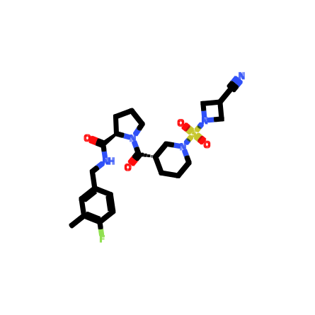 Cc1cc(CNC(=O)[C@H]2CCCN2C(=O)[C@H]2CCCN(S(=O)(=O)N3CC(C#N)C3)C2)ccc1F